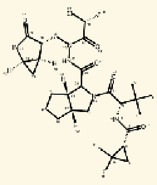 CC(C)(C)[C@H](NC(=O)[C@@H]1CC1(F)F)C(=O)N1C[C@@H]2CCC[C@@H]2[C@H]1C(=O)NN(C[C@H]1C(=O)N[C@@H]2C[C@@H]21)C(=O)[C@@H](F)Cl